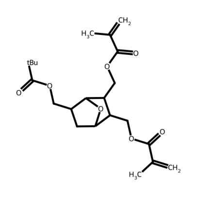 C=C(C)C(=O)OCC1C2CC(COC(=O)C(C)(C)C)C(O2)C1COC(=O)C(=C)C